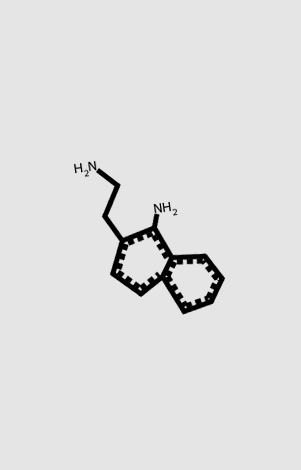 NCCc1ccc2ccccc2c1N